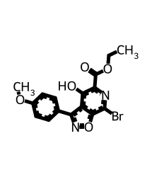 CCOC(=O)c1nc(Br)c2onc(-c3ccc(OC)cc3)c2c1O